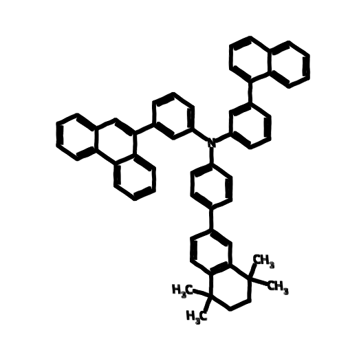 CC1(C)CCC(C)(C)c2cc(-c3ccc(N(c4cccc(-c5cccc6ccccc56)c4)c4cccc(-c5cc6ccccc6c6ccccc56)c4)cc3)ccc21